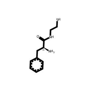 N[C@@H](Cc1ccccc1)C(=O)NCCS